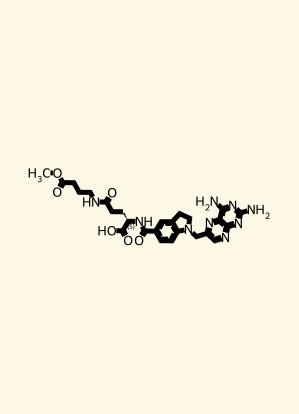 COC(=O)CCCNC(=O)CC[C@H](NC(=O)c1ccc2c(c1)CCN2Cc1cnc2nc(N)nc(N)c2n1)C(=O)O